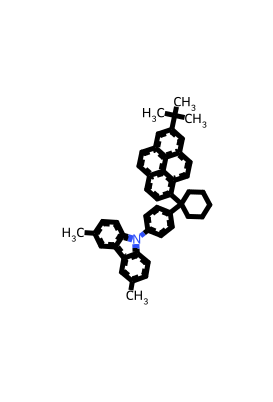 Cc1ccc2c(c1)c1cc(C)ccc1n2-c1ccc(C2(c3ccc4ccc5cc(C(C)(C)C)cc6ccc3c4c56)CCCCC2)cc1